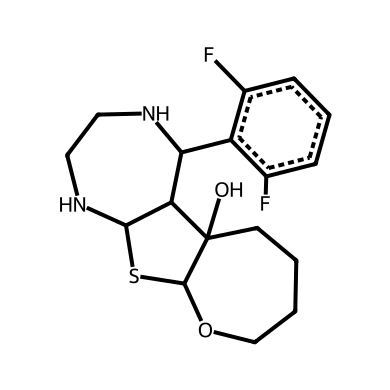 OC12CCCCOC1SC1NCCNC(c3c(F)cccc3F)C12